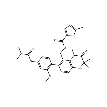 COc1cc(OC(=O)C(C)C)ccc1-c1ccc2c(c1COC(=O)c1ccc(C)s1)N(C)C(=O)C(C)(C)N2